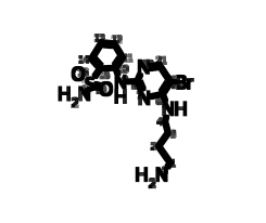 NCCCCNc1nc(Nc2ccccc2S(N)(=O)=O)ncc1Br